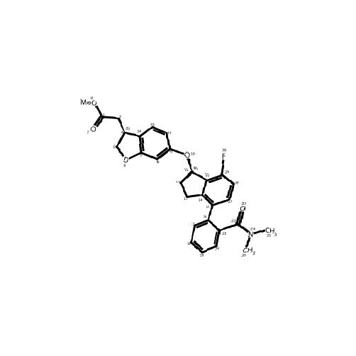 COC(=O)C[C@@H]1COc2cc(O[C@@H]3CCc4c(-c5ccccc5C(=O)N(C)C)ccc(F)c43)ccc21